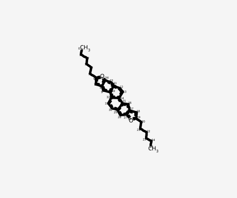 CCCCCCc1cc2cc3c(ccc4c5cc6cc(CCCCCC)oc6cc5ccc34)cc2o1